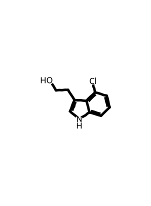 OCCc1c[nH]c2cccc(Cl)c12